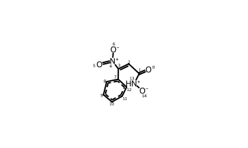 O=C1C=C([N+](=O)[O-])c2ccccc2[NH+]1[O-]